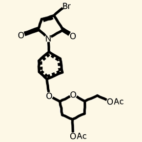 CC(=O)OCC1CC(OC(C)=O)CC(Oc2ccc(N3C(=O)C=C(Br)C3=O)cc2)O1